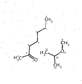 CCCCCC(C)=O.COC(C)C